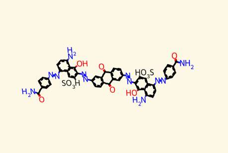 NC(=O)c1ccc(N=Nc2ccc(N)c3c(O)c(N=Nc4ccc5c(c4)C(=O)c4ccc(N=Nc6c(S(=O)(=O)O)cc7c(N=Nc8ccc(C(N)=O)cc8)ccc(N)c7c6O)cc4C5=O)c(S(=O)(=O)O)cc23)cc1